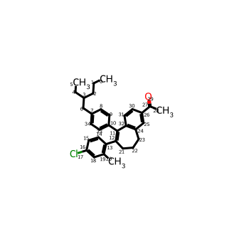 CCCC(CC)Cc1ccc(C2=C(c3ccc(Cl)cc3C)CCCc3cc(C(C)=O)ccc32)cc1